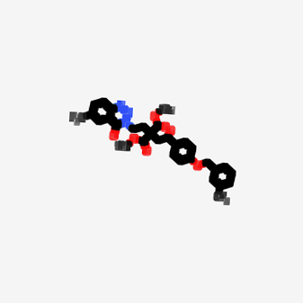 CC(C)(C)OC(=O)C(CCn1nnc2ccc(C(F)(F)F)cc2c1=O)(CC(=O)c1ccc(OCc2cccc(C(F)(F)F)c2)cc1)C(=O)OC(C)(C)C